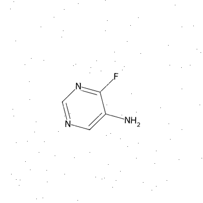 Nc1cncnc1F